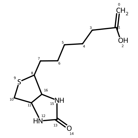 C=C(O)CCCCCC1SCC2NC(=O)NC21